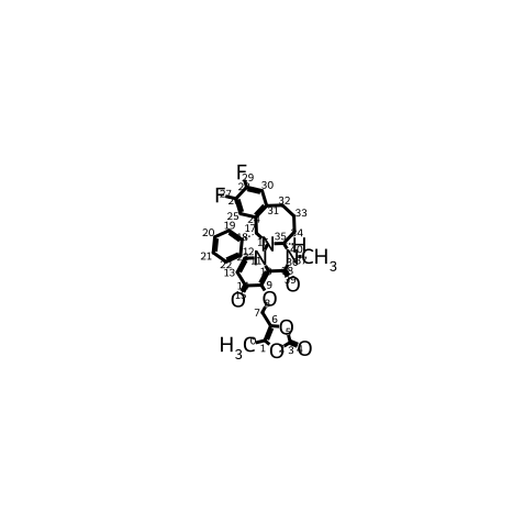 Cc1oc(=O)oc1COc1c2n(ccc1=O)N1[C@H](c3ccccc3)c3cc(F)c(F)cc3CCC[C@H]1N(C)C2=O